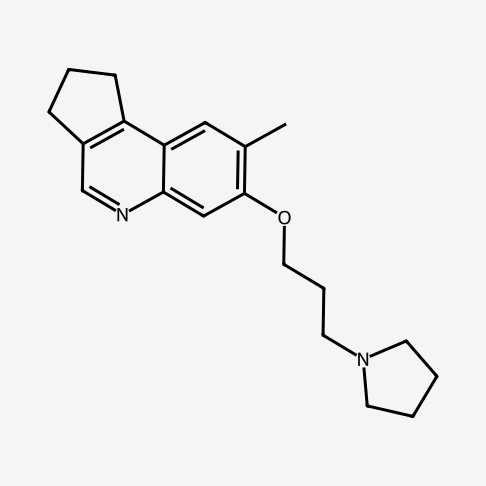 Cc1cc2c3c(cnc2cc1OCCCN1CCCC1)CCC3